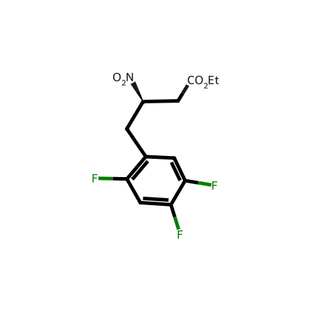 CCOC(=O)C[C@@H](Cc1cc(F)c(F)cc1F)[N+](=O)[O-]